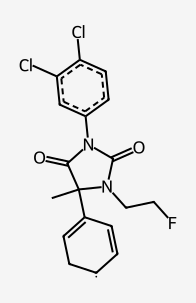 CC1(C2=CC[CH]C=C2)C(=O)N(c2ccc(Cl)c(Cl)c2)C(=O)N1CCF